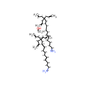 C=CCC(CC=C)(CC=C)CCCCCCCCCCCN.C=CCC(CC=C)(CC=C)CCCCCCCCCCCN.O=S(=O)(O)O